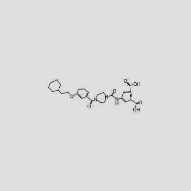 O=C(O)c1cc(NC(=O)N2CCN(C(=O)c3cccc(OCCC4CCCCC4)c3)CC2)cc(C(=O)O)c1